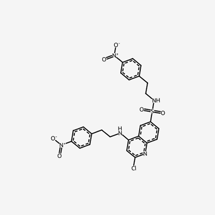 O=[N+]([O-])c1ccc(CCNc2cc(Cl)nc3ccc(S(=O)(=O)NCCc4ccc([N+](=O)[O-])cc4)cc23)cc1